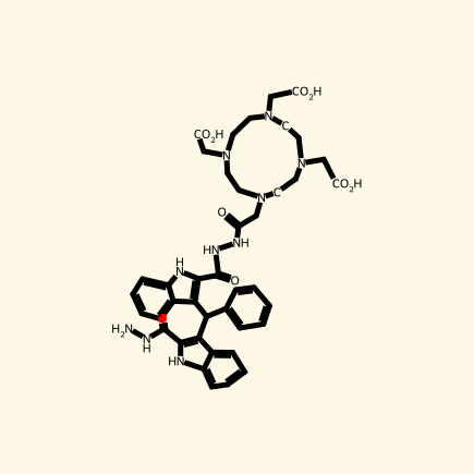 NNC(=O)c1[nH]c2ccccc2c1C(c1ccccc1)c1c(C(=O)NNC(=O)CN2CCN(CC(=O)O)CCN(CC(=O)O)CCN(CC(=O)O)CC2)[nH]c2ccccc12